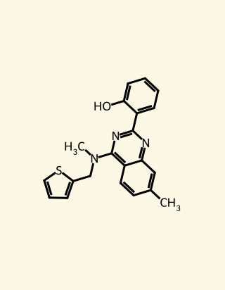 Cc1ccc2c(N(C)Cc3cccs3)nc(-c3ccccc3O)nc2c1